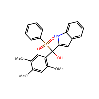 COc1cc(OC)c(C(O)(c2cc3ccccc3[nH]2)S(=O)(=O)c2ccccc2)cc1OC